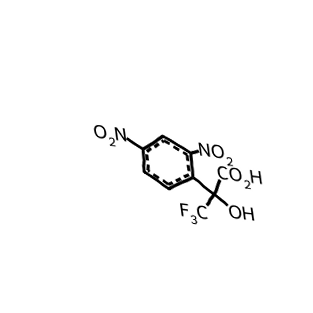 O=C(O)C(O)(c1ccc([N+](=O)[O-])cc1[N+](=O)[O-])C(F)(F)F